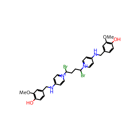 COc1cc(CNc2cc[n+](C(Br)CCC(Br)[n+]3ccc(NCc4ccc(O)c(OC)c4)cc3)cc2)ccc1O